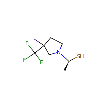 C[C@H](S)N1CCC(I)(C(F)(F)F)C1